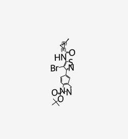 C[C@@H]1C[C@H]1C(=O)Nc1snc(-c2ccc3c(cnn3C(=O)OC(C)(C)C)c2)c1Br